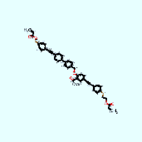 C=CC(=O)OCCSc1ccc(C#Cc2ccc(OCc3ccc(-c4ccc(C#Cc5ccc(SOC(=O)C=C)cc5)cc4)cc3)c(C(=O)OC)c2)cc1